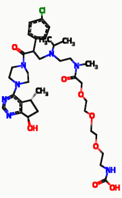 CC(C)N(CCN(C)C(=O)COCCOCCOCCNC(=O)O)CC(C(=O)N1CCN(c2ncnc3c2[C@H](C)C[C@H]3O)CC1)c1ccc(Cl)cc1